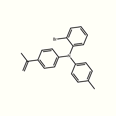 C=C(C)c1ccc(N(c2ccc(C)cc2)c2ccccc2Br)cc1